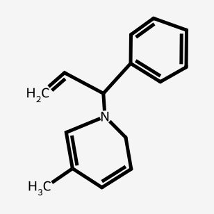 C=CC(c1ccccc1)N1C=C(C)C=CC1